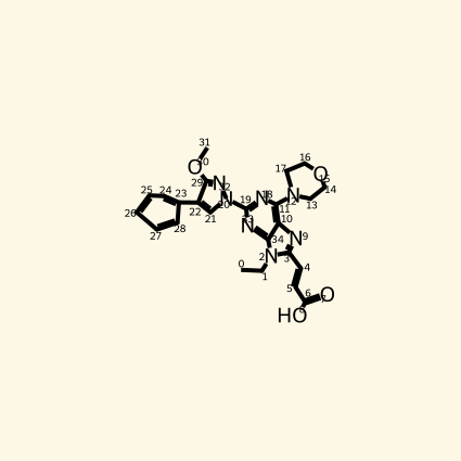 CCn1c(/C=C/C(=O)O)nc2c(N3CCOCC3)nc(-n3cc(-c4ccccc4)c(OC)n3)nc21